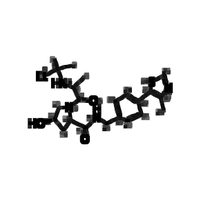 CCC(C)(C)NC(C)C(=O)N1C[C@H](O)CC1C(=O)NCc1ccc(-c2scnc2C)cc1